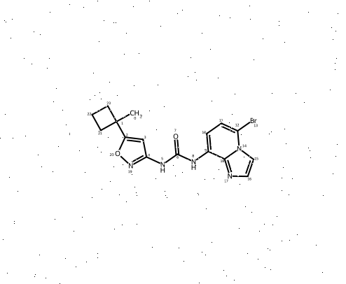 CC1(c2cc(NC(=O)Nc3ccc(Br)n4ccnc34)no2)CCC1